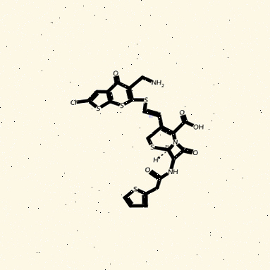 NCc1c(S/C=C/C2=C(C(=O)O)N3C(=O)C(NC(=O)Cc4cccs4)[C@H]3SC2)sc2sc(Cl)cc2c1=O